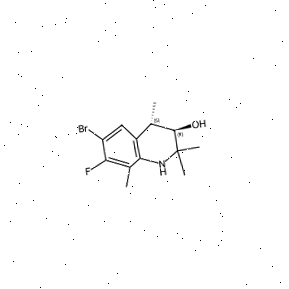 Cc1c(F)c(Br)cc2c1NC(C)(C)[C@H](O)[C@H]2C